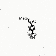 COCCN(C(C)=O)c1ncc(C(=O)NO)cn1